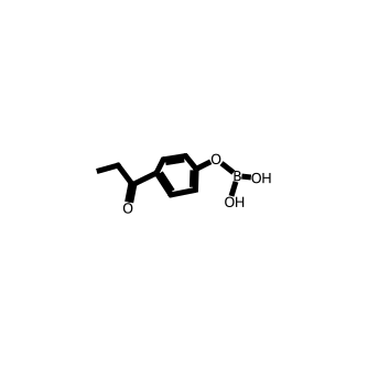 CCC(=O)c1ccc(OB(O)O)cc1